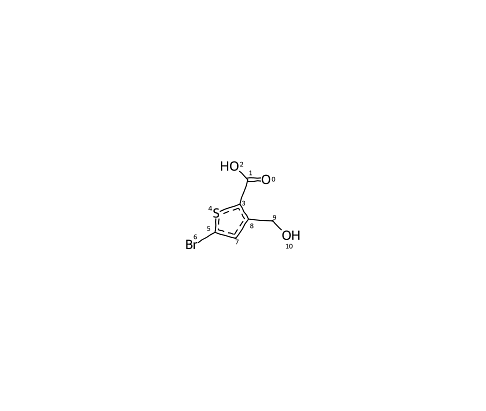 O=C(O)c1sc(Br)cc1CO